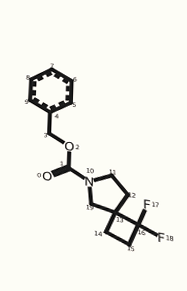 O=C(OCc1ccccc1)N1CCC2(CCC2(F)F)C1